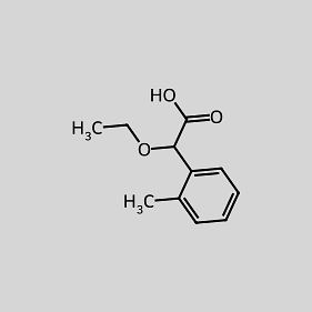 CCOC(C(=O)O)c1ccccc1C